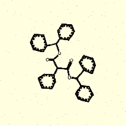 O=C(OC(c1ccccc1)c1ccccc1)C(C(=O)OC(c1ccccc1)c1ccccc1)c1ccccc1